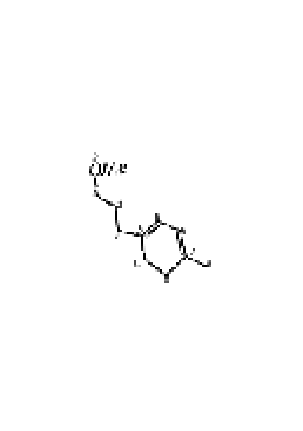 COCCCC1=CC=C(C)CC1